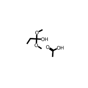 CC(=O)O.CCC(O)(OC)OC